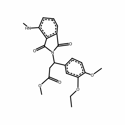 CCOc1cc(C(CC(=O)OC)N2C(=O)c3cccc(NC)c3C2=O)ccc1OC